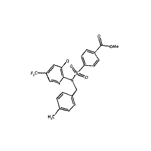 COC(=O)c1ccc(S(=O)(=O)N(Cc2ccc(C)cc2)c2ncc(C(F)(F)F)cc2Cl)cc1